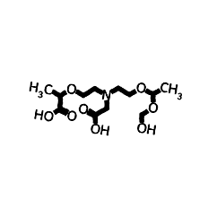 CC(OCO)OCCN(CCOC(C)C(=O)O)CC(=O)O